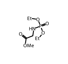 CCOP(=O)(NCC(=O)OC)OCC